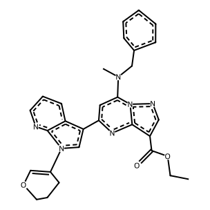 CCOC(=O)c1cnn2c(N(C)Cc3ccccc3)cc(-c3cn(C4=COCCC4)c4ncccc34)nc12